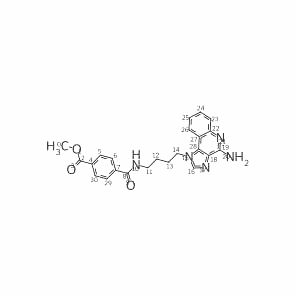 COC(=O)c1ccc(C(=O)NCCCCn2cnc3c(N)nc4ccccc4c32)cc1